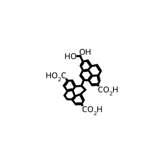 O=C(O)c1cc2c3c(c1)CC(c1cc4cc(C(O)O)cc5ccc6cc(C(=O)O)cc1c6c54)c1cc(C(=O)O)cc(c1-3)CC2